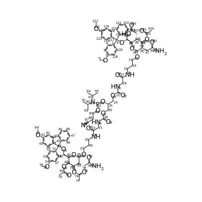 COc1ccc(C(OC[C@@H]2O[C@@H](OCCCNC(=O)CNC(=O)OCC(COC(=O)NCC(=O)NCCCO[C@@H]3O[C@H](COC(c4ccccc4)(c4ccc(OC)cc4)c4ccc(OC)cc4)[C@H](OC(C)=O)[C@H](OC(C)=O)[C@H]3CC(N)=O)OP(OCCC#N)N(C(C)C)C(C)C)[C@H](CC(N)=O)[C@H](OC(C)=O)[C@H]2CC(=O)O)(c2ccccc2)c2ccc(OC)cc2)cc1